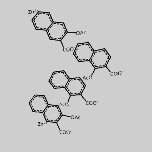 CC(=O)Oc1c(C(=O)[O-])ccc2ccccc12.CC(=O)Oc1c(C(=O)[O-])ccc2ccccc12.CC(=O)Oc1cc2ccccc2cc1C(=O)[O-].CC(=O)Oc1cc2ccccc2cc1C(=O)[O-].[Zn+2].[Zn+2]